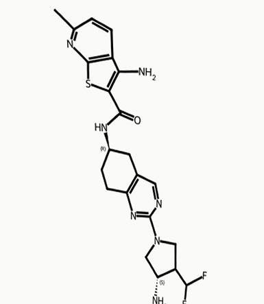 Cc1ccc2c(N)c(C(=O)N[C@@H]3CCc4nc(N5CC(C(F)F)[C@H](N)C5)ncc4C3)sc2n1